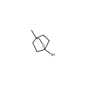 CC12CCC(S)(CC1)OC2